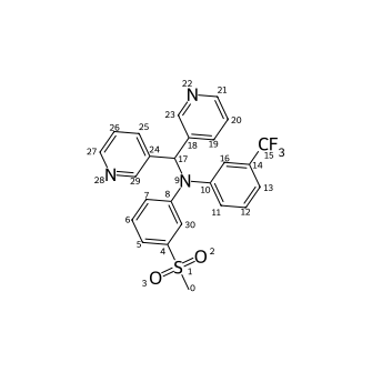 CS(=O)(=O)c1cccc(N(c2cccc(C(F)(F)F)c2)C(c2cccnc2)c2cccnc2)c1